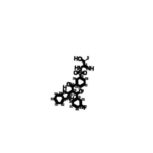 C[C@@H](O)C(=N)NS(=O)(=O)c1cccc(C(=O)C(C(=O)c2cccc(F)c2)=C2Nc3ccccc3N2)c1